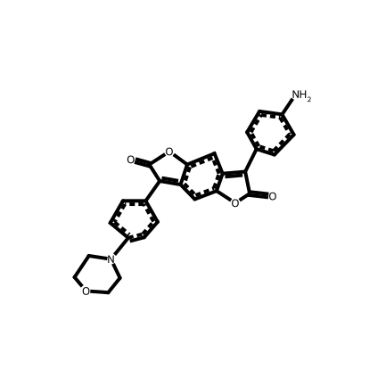 Nc1ccc(C2=c3cc4c(cc3OC2=O)=C(c2ccc(N3CCOCC3)cc2)C(=O)O4)cc1